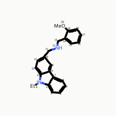 CCn1c2ccccc2c2cc(CNCc3ccccc3OC)ccc21